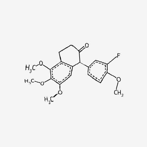 COc1ccc(C2C(=O)CCc3c2cc(OC)c(OC)c3OC)cc1F